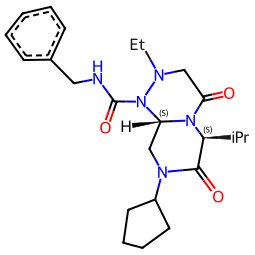 CCN1CC(=O)N2[C@@H](C(C)C)C(=O)N(C3CCCC3)C[C@@H]2N1C(=O)NCc1ccccc1